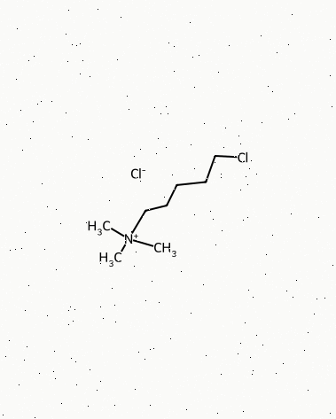 C[N+](C)(C)CCCCCCl.[Cl-]